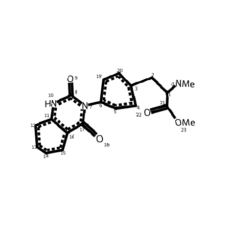 CNC(Cc1ccc(-n2c(=O)[nH]c3ccccc3c2=O)cc1)C(=O)OC